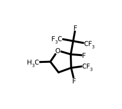 CC1CC(F)(C(F)(F)F)C(F)(C(F)(C(F)(F)F)C(F)(F)F)O1